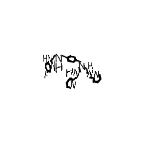 Fc1ccc2[nH]c(CNCc3ccc(CN(CCNCc4ccccn4)CCNCc4ccccn4)cc3)nc2c1